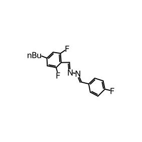 CCCCc1cc(F)c(/C=N/N=C/c2ccc(F)cc2)c(F)c1